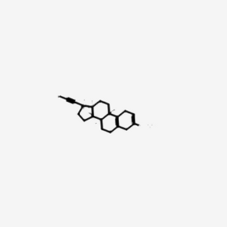 CC[C@]12CC[C@@H]3C4=C(CC[C@H]3[C@@H]1CC[C@@]2(O)C#CCl)CC(OC)=CC4